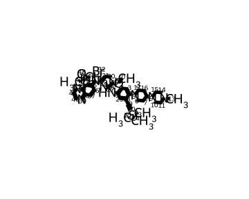 COc1cc(N2CCC(N3CCN(C)CC3)CC2)c(C#C[Si](C)(C)C)cc1Nc1ncc(Br)c(Nc2ccc3nccnc3c2P(C)(C)=O)n1